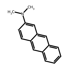 CN(C)c1[c]cc2cc3ccccc3cc2c1